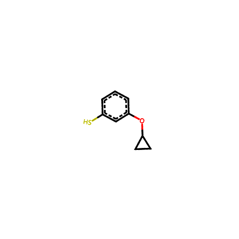 Sc1cccc(OC2CC2)c1